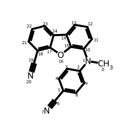 CN(c1ccc(C#N)cc1)c1cccc2c1oc1c(C#N)cccc12